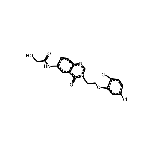 O=C(CO)Nc1ccc2ncn(CCOc3cc(Cl)ccc3Cl)c(=O)c2c1